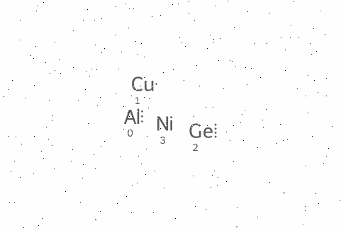 [Al].[Cu].[Ge].[Ni]